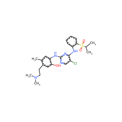 Cc1cc(Nc2ncc(Cl)c(Nc3ccccc3S(=O)(=O)C(C)C)n2)c(O)cc1CCN(C)C